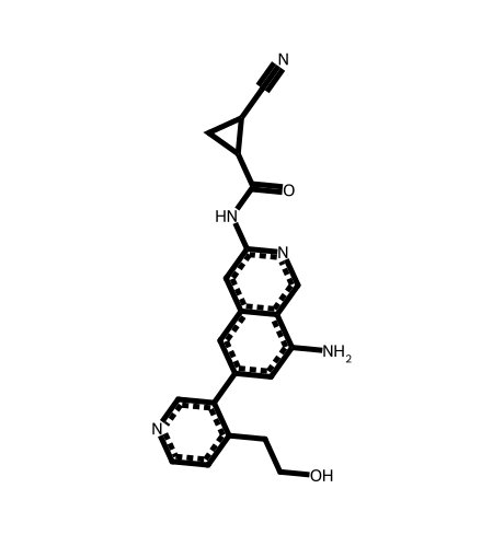 N#CC1CC1C(=O)Nc1cc2cc(-c3cnccc3CCO)cc(N)c2cn1